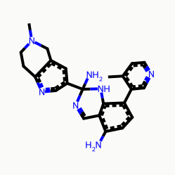 Cc1ccncc1-c1ccc(N)c2c1NC(N)(c1cnc3c(c1)CN(C)CC3)N=C2